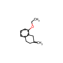 C=C1CCc2cccc(OCC)c2C1